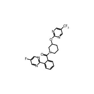 O=C(c1ccccc1-c1ncc(F)cn1)N1CCCC(Oc2ncc(C(F)(F)F)cn2)C1